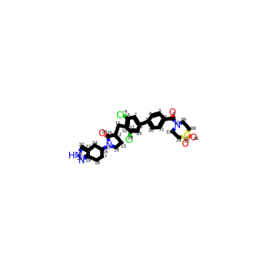 O=C(c1ccc(-c2cc(Cl)c(CC3CCN(C4CCc5n[nH]cc5C4)C3=O)c(Cl)c2)cc1)N1CCS(=O)(=O)CC1